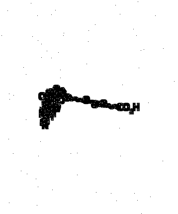 CC(C)(C)OC(=O)N1CCC(Nc2cccc(C(=O)NC3CCOc4ccc(OCCCCCCOCCOCCOCCCCCC(=O)O)cc43)c2)(c2nnc(-c3ccncc3)[nH]2)CC1